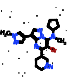 CN(c1c(Br)c(C2CCCNC2)nc2c(-c3cnn(C)c3)cnn12)C1CCCC1